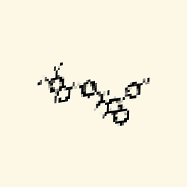 COc1cc2nccc(Oc3ccc(NC(=O)c4cn(-c5ccc(Cl)cc5)c5ccccc5c4=O)cc3)c2cc1OC